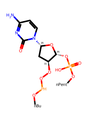 CCCCCOP(=O)(O)O[C@H]1O[C@@H](n2ccc(N)nc2=O)C[C@@H]1OOPOCCCC